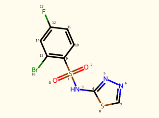 O=S(=O)(Nc1nncs1)c1ccc(F)cc1Br